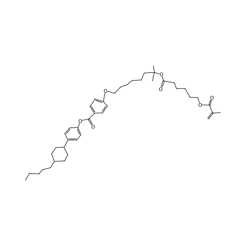 C=C(C)C(=O)OCCCCCC(=O)OC(C)(C)CCCCCCOc1ccc(C(=O)Oc2ccc(C3CCC(CCCCC)CC3)cc2)cc1